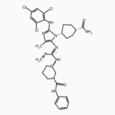 C=N/C(=N\c1c(C)nc(Nc2c(Cl)cc(Cl)cc2Cl)n1[C@H]1CC[C@@H](C(N)=O)CC1)N[C@@H]1CCCN(C(=O)Nc2ccccc2)C1